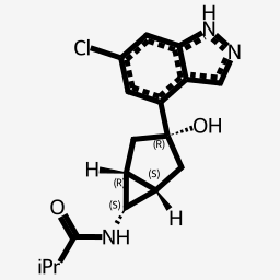 CC(C)C(=O)N[C@@H]1[C@@H]2C[C@@](O)(c3cc(Cl)cc4[nH]ncc34)C[C@@H]21